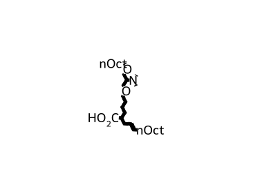 CCCCCCCCC=CCC(CCCCOCC(COCCCCCCCC)N(C)C)C(=O)O